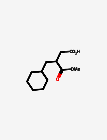 COC(=O)C(CC(=O)O)CC1CCCCC1